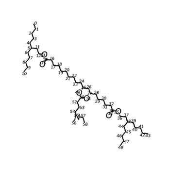 CCCCCC(CCCCC)CCOC(=O)CCCCCCCCCC(CCCCCCCC(=O)OCCC(CCCCC)CCCCC)OC(=O)CCCN(C)CC